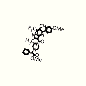 COC(=O)[C@H](c1ccccc1)N1CCN(C(=O)c2cnn3c(C(F)(F)F)c(C)c(-c4ccc(OC)cc4)nc23)[C@H](C)C1